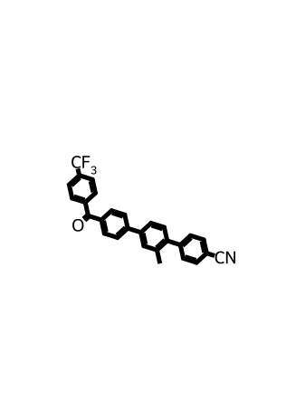 Cc1cc(-c2ccc(C(=O)c3ccc(C(F)(F)F)cc3)cc2)ccc1-c1ccc(C#N)cc1